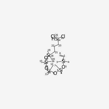 C=C[Si](C)(C)O[Si](C)(C)O[Si](C)(C)O[Si](C)(C)O[Si](C)(C)CCC[SiH](Cl)Cl